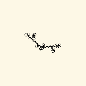 O=NSCCC(CCCCC(=O)CC1CCCN1C(=O)CCCCC(CCSN=O)SN=O)SN=O